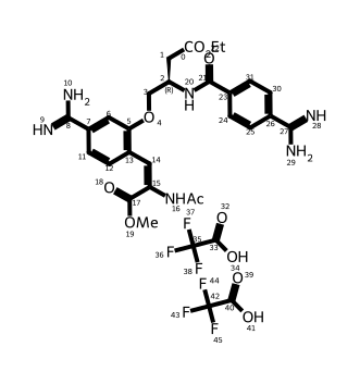 CCOC(=O)C[C@H](COc1cc(C(=N)N)ccc1C=C(NC(C)=O)C(=O)OC)NC(=O)c1ccc(C(=N)N)cc1.O=C(O)C(F)(F)F.O=C(O)C(F)(F)F